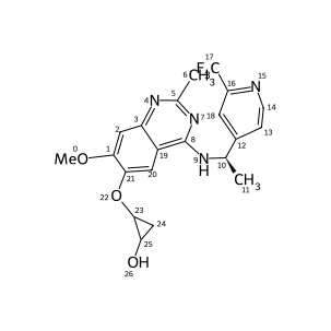 COc1cc2nc(C)nc(N[C@H](C)c3ccnc(C(F)(F)F)c3)c2cc1OC1CC1O